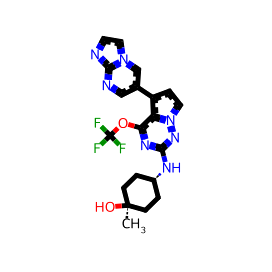 C[C@]1(O)CC[C@H](Nc2nc(OC(F)(F)F)c3c(-c4cnc5nccn5c4)ccn3n2)CC1